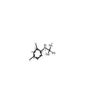 [2H]C([2H])([2H])Nc1ccc(C)cc1C